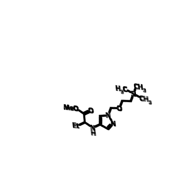 CCC(Nc1cnn(COCC[Si](C)(C)C)c1)C(=O)OC